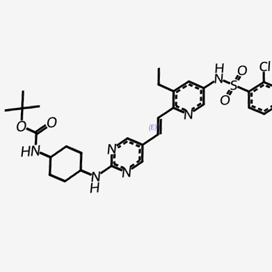 CCc1cc(NS(=O)(=O)c2ccccc2Cl)cnc1/C=C/c1cnc(NC2CCC(NC(=O)OC(C)(C)C)CC2)nc1